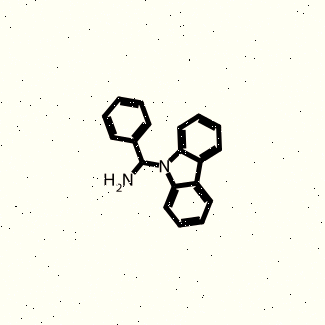 NC(c1ccccc1)n1c2ccccc2c2ccccc21